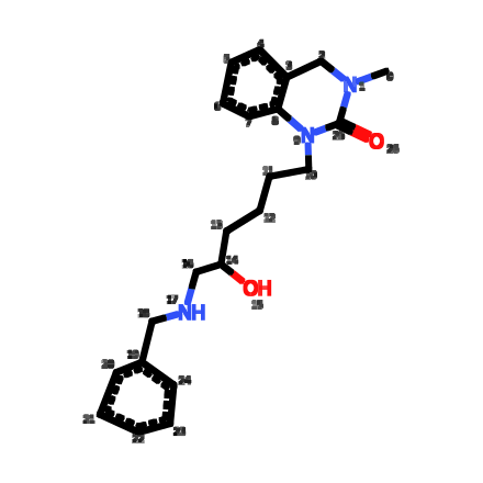 CN1Cc2ccccc2N(CCCCC(O)CNCc2ccccc2)C1=O